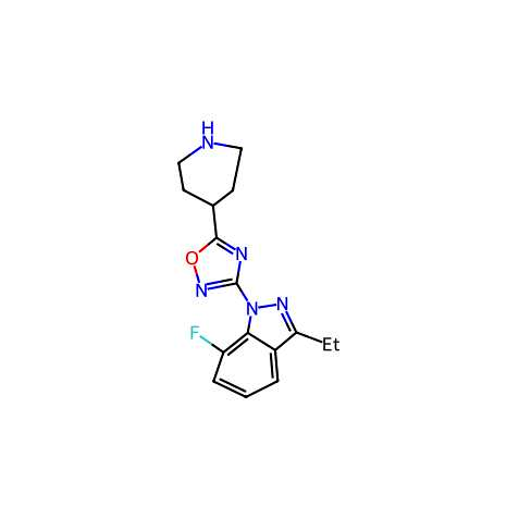 CCc1nn(-c2noc(C3CCNCC3)n2)c2c(F)cccc12